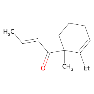 CC=CC(=O)C1(C)CCCC=C1CC